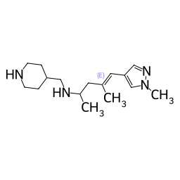 C/C(=C\c1cnn(C)c1)CC(C)NCC1CCNCC1